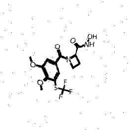 COc1cc(C(=O)N2CC[C@@H]2C(=O)NO)cc(SC(F)(F)F)c1OC